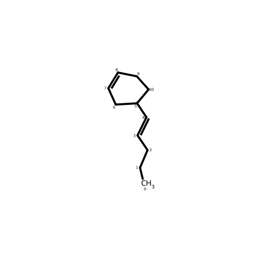 CCCC=C[C]1CC=CCC1